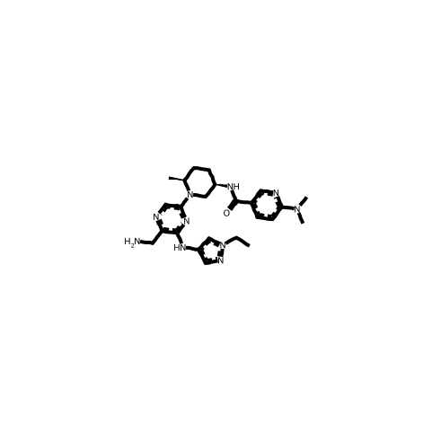 CCn1cc(Nc2nc(N3C[C@H](NC(=O)c4ccc(N(C)C)nc4)CC[C@@H]3C)cnc2CN)cn1